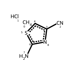 C.Cl.N#Cc1csc(N)n1